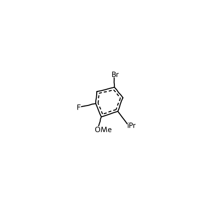 COc1c(F)cc(Br)cc1C(C)C